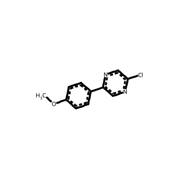 COc1ccc(-c2cnc(Cl)cn2)cc1